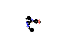 Cc1cccc(-c2nc(-c3ccc(S(C)(=O)=O)cc3)sc2-c2ccnc(N(C)CCc3ccccc3)c2)c1